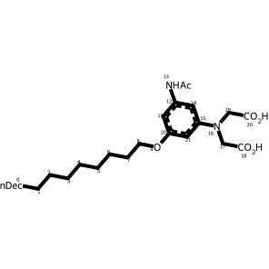 CCCCCCCCCCCCCCCCCCOc1cc(NC(C)=O)cc(N(CC(=O)O)CC(=O)O)c1